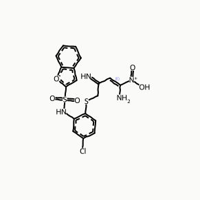 N=C(/C=C(\N)[N+](=O)O)CSc1ccc(Cl)cc1NS(=O)(=O)c1cc2ccccc2o1